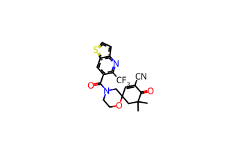 CC1(C)CC2(C=C(C#N)C1=O)CN(C(=O)c1cc3sccc3nc1C(F)(F)F)CCO2